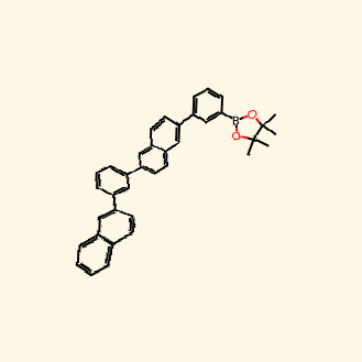 CC1(C)OB(c2cccc(-c3ccc4cc(-c5cccc(-c6ccc7ccccc7c6)c5)ccc4c3)c2)OC1(C)C